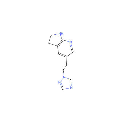 c1ncn(CCc2cnc3c(c2)CCN3)n1